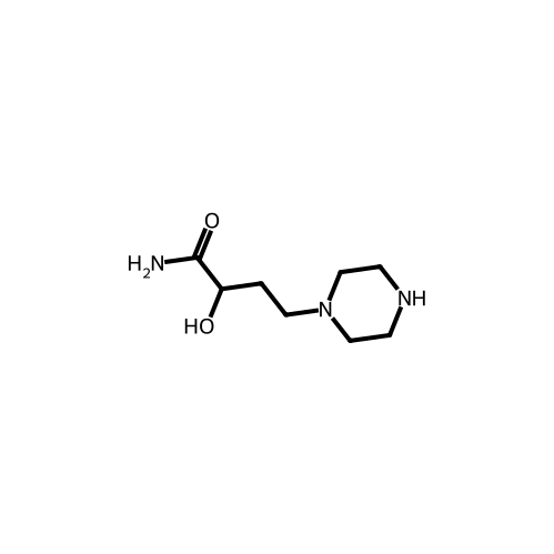 NC(=O)C(O)CCN1CCNCC1